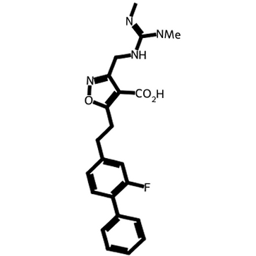 CN=C(NC)NCc1noc(CCc2ccc(-c3ccccc3)c(F)c2)c1C(=O)O